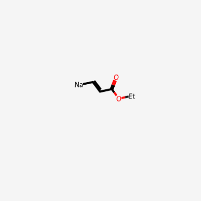 CCOC(=O)/C=[CH]/[Na]